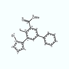 CCn1nnnc1-c1cc(-c2ccccc2)cc(C(=O)OC)c1C